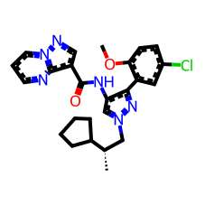 COc1ccc(Cl)cc1-c1nn(C[C@H](C)C2CCCC2)cc1NC(=O)c1cnn2cccnc12